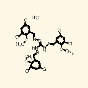 COc1c(Cl)cc(Cl)cc1C=NN=C(NN=Cc1cc(Cl)cc(Cl)c1OC)NN=Cc1cc(Cl)cc(Cl)c1OC.Cl